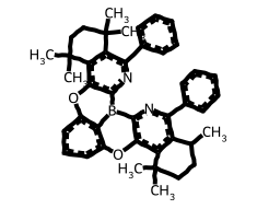 CC1CCC(C)(C)c2c3c(nc(-c4ccccc4)c21)B1c2nc(-c4ccccc4)c4c(c2Oc2cccc(c21)O3)C(C)(C)CCC4(C)C